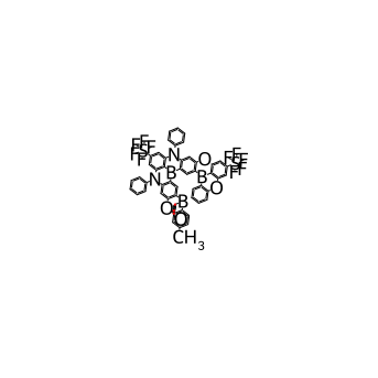 Cc1cc2c3c(c1)Oc1cc4c(cc1B3c1ccccc1O2)B1c2cc3c(cc2N(c2ccccc2)c2cc(S(F)(F)(F)(F)F)cc(c21)N4c1ccccc1)Oc1cc(S(F)(F)(F)(F)F)cc2c1B3c1ccccc1O2